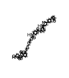 O=C1CCC(N2C(=O)c3cccc(NCCOCCOCCOCC(=O)Nc4ccc(C(=O)Nc5cncc(Nc6ccc(-c7ccc(N8CCCC8=O)cc7)cn6)c5)cc4)c3C2=O)C(=O)N1